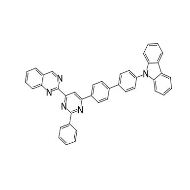 c1ccc(-c2nc(-c3ccc(-c4ccc(-n5c6ccccc6c6ccccc65)cc4)cc3)cc(-c3ncc4ccccc4n3)n2)cc1